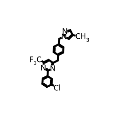 Cc1cnn(Cc2ccc(Cc3cc(C(F)(F)F)nc(-c4cccc(Cl)c4)n3)cc2)c1